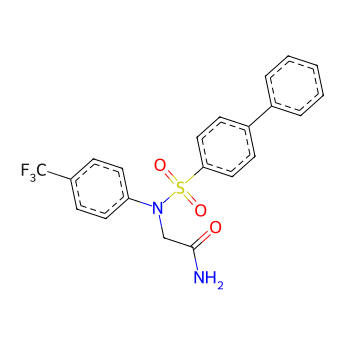 NC(=O)CN(c1ccc(C(F)(F)F)cc1)S(=O)(=O)c1ccc(-c2ccccc2)cc1